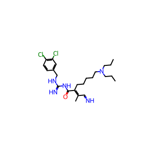 CCCN(CCC)CCCCC/C(C(=O)NC(=N)NCc1ccc(Cl)c(Cl)c1)=C(/C)C=N